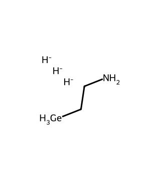 NC[CH2][GeH3].[H-].[H-].[H-]